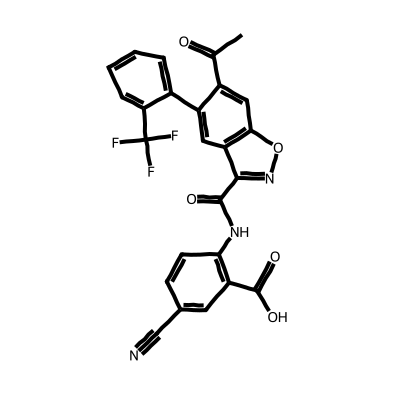 CC(=O)c1cc2onc(C(=O)Nc3ccc(C#N)cc3C(=O)O)c2cc1-c1ccccc1C(F)(F)F